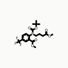 COC(=O)CCCN(C(=O)OC(C)(C)C)c1ccc(C(F)(F)F)cc1C(=O)OC